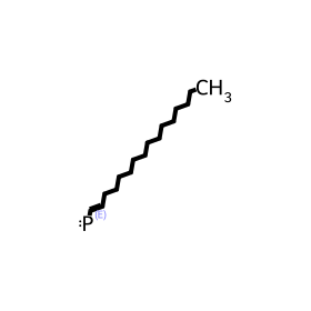 CCCCCCCCCCCCCC/C=C/[P]